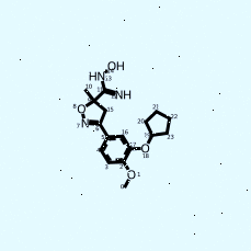 COc1ccc(C2=NOC(C)(C(=N)NO)C2)cc1OC1CCCC1